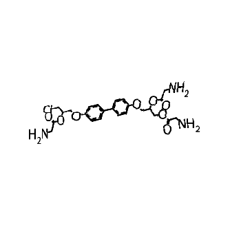 NCC(=O)OCC(COc1ccc(-c2ccc(OCC(CCl)OC(=O)CN)cc2)cc1)OC(=O)CN